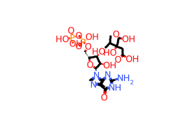 CC(C)C(O)(CC(=O)O)C(=O)O.Nc1nc2c(ncn2[C@@H]2O[C@H](COP(=O)(O)OP(=O)(O)O)[C@@H](O)[C@H]2O)c(=O)[nH]1